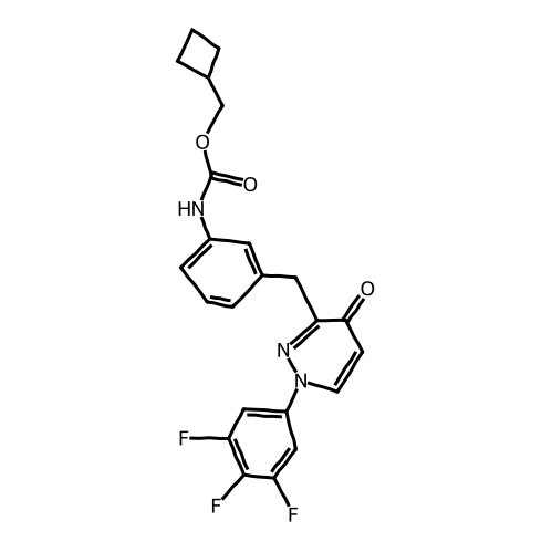 O=C(Nc1cccc(Cc2nn(-c3cc(F)c(F)c(F)c3)ccc2=O)c1)OCC1CCC1